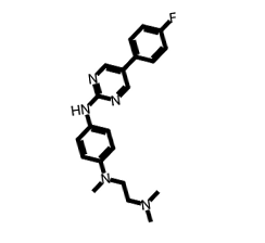 CN(C)CCN(C)c1ccc(Nc2ncc(-c3ccc(F)cc3)cn2)cc1